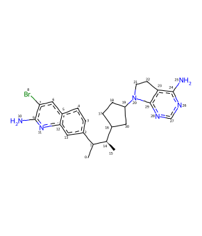 CC(c1ccc2cc(Br)c(N)nc2c1)[C@H](C)C1CCC(N2CCc3c(N)ncnc32)C1